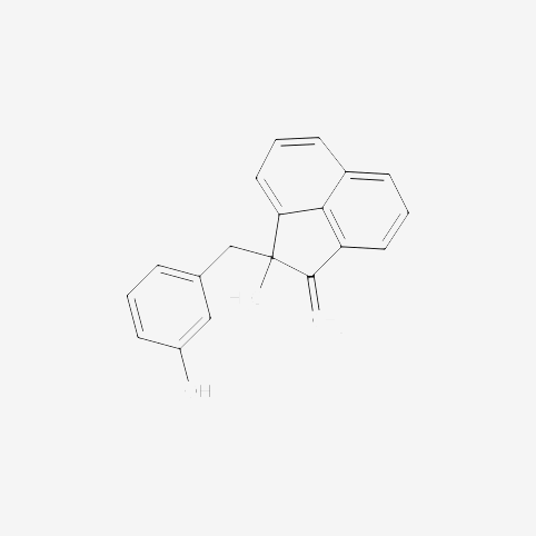 C=C1c2cccc3cccc(c23)C1(C)Cc1cccc(O)c1